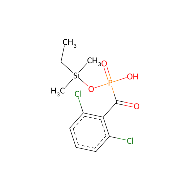 CC[Si](C)(C)OP(=O)(O)C(=O)c1c(Cl)cccc1Cl